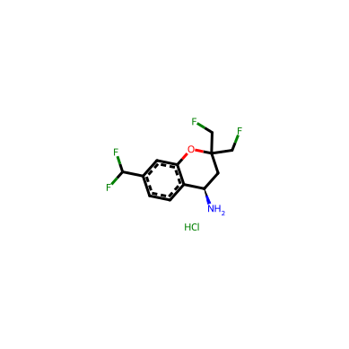 Cl.N[C@@H]1CC(CF)(CF)Oc2cc(C(F)F)ccc21